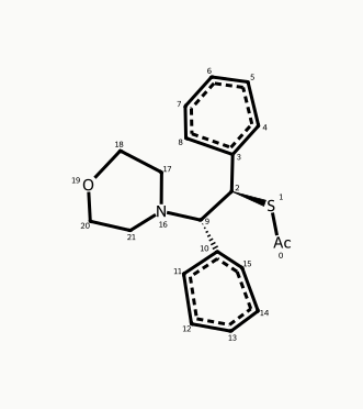 CC(=O)S[C@H](c1ccccc1)[C@H](c1ccccc1)N1CCOCC1